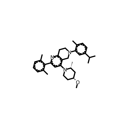 CO[C@@H]1CCN(c2cc(-c3c(C)cccc3C)nc3c2CN(c2cc(C(C)C)ccc2C)CC3)[C@H](C)C1